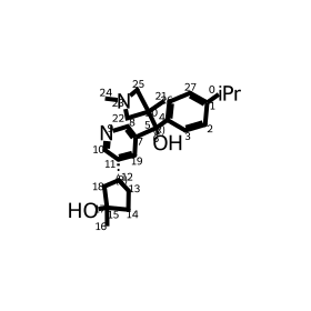 CC(C)c1ccc([C@](O)(c2cncc([C@@H]3CCC(C)(O)C3)c2)C2(C)CN(C)C2)cc1